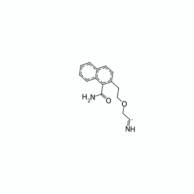 N=[C]COCCc1ccc2ccccc2c1C(N)=O